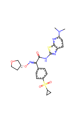 CN(C)c1ccc2nc(NC(=O)/C(=N/O[C@@H]3CCOC3)c3ccc(S(=O)(=O)C4CC4)cc3)sc2n1